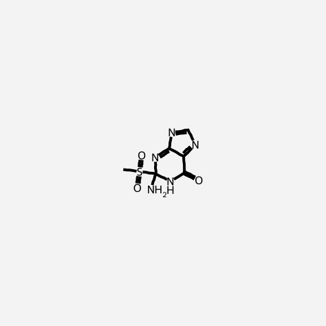 CS(=O)(=O)C1(N)N=C2N=CN=C2C(=O)N1